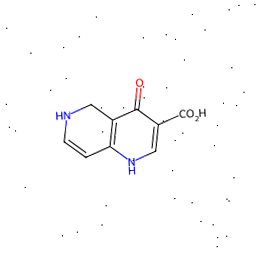 O=C(O)c1c[nH]c2c(c1=O)CNC=C2